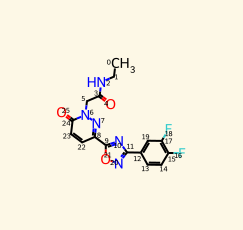 CCNC(=O)Cn1nc(-c2nc(-c3ccc(F)c(F)c3)no2)ccc1=O